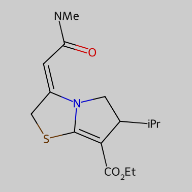 CCOC(=O)C1=C2SCC(=CC(=O)NC)N2CC1C(C)C